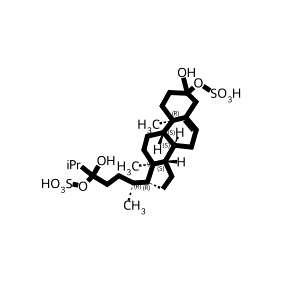 CC(C)C(O)(CC[C@@H](C)[C@H]1CC[C@H]2[C@@H]3CC=C4CC(O)(OS(=O)(=O)O)CC[C@]4(C)[C@H]3CC[C@]12C)OS(=O)(=O)O